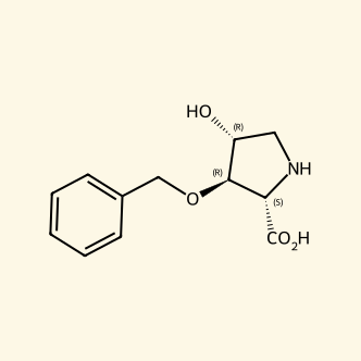 O=C(O)[C@H]1NC[C@@H](O)[C@@H]1OCc1ccccc1